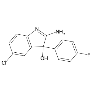 NC1=Nc2ccc(Cl)cc2C1(O)c1ccc(F)cc1